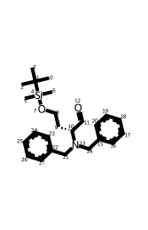 CC(C)(C)[Si](C)(C)OCC[C@H](C=O)N(Cc1ccccc1)Cc1ccccc1